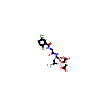 CC(C)C[C@H](NC(=O)CNC(=O)c1cc(F)ccc1Br)B1OC(=O)[C@H](CC(=O)O)O1